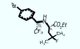 CCOC(=O)[C@H](CC(C)(C)F)N[C@@H](c1ccc(Br)cc1)C(F)(F)F